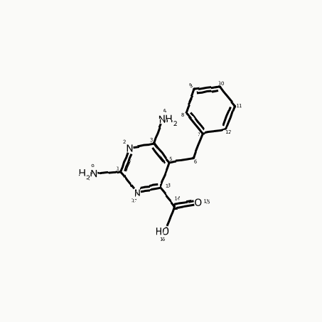 Nc1nc(N)c(Cc2ccccc2)c(C(=O)O)n1